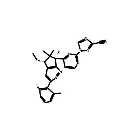 CC[C@H]1c2cc(-c3c(F)cccc3F)nnc2[C@](C)(c2ccnc(-n3cnc(C#N)n3)n2)C1(C)C